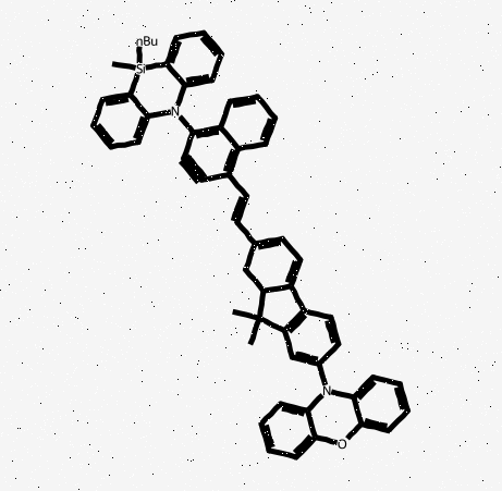 CCCC[Si]1(C)c2ccccc2N(c2c#cc(/C=C/C3=CC=C4c5ccc(N6c7ccccc7Oc7ccccc76)cc5C(C)(C)C4C3)c3ccccc23)c2ccccc21